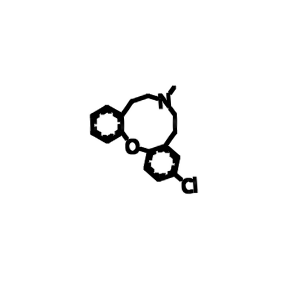 CN1CCc2ccccc2Oc2ccc(Cl)cc2CC1